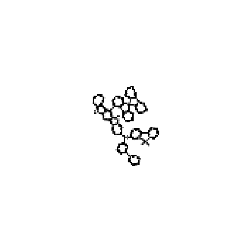 CC1(C)c2ccccc2-c2ccc(N(c3cccc(-c4ccccc4)c3)c3ccc4c(c3)oc3c(-c5cccc6c5-c5ccccc5C65c6ccccc6-c6ccccc65)c5c(cc34)oc3ccccc35)cc21